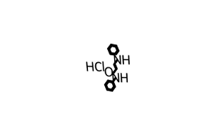 Cl.O=C(C=CNc1ccccc1)Nc1ccccc1